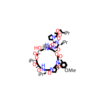 CC[C@H](C)[C@@H]1NC(=O)[C@@H](NC(=O)[C@@H](CC(C)C)N(C)C(=O)[C@@H]2CCCN2C(=O)C2(C)OCC(C(C)C)O2)[C@@H](C)OC(=O)[C@H](Cc2ccc(OC)cc2)N(C)C(=O)[C@@H]2CCCN2C(=O)[C@H](CC(C)C)NC(=O)[C@@H](C)C(=O)[C@H](C(C)C)OC(=O)C[C@@H]1O